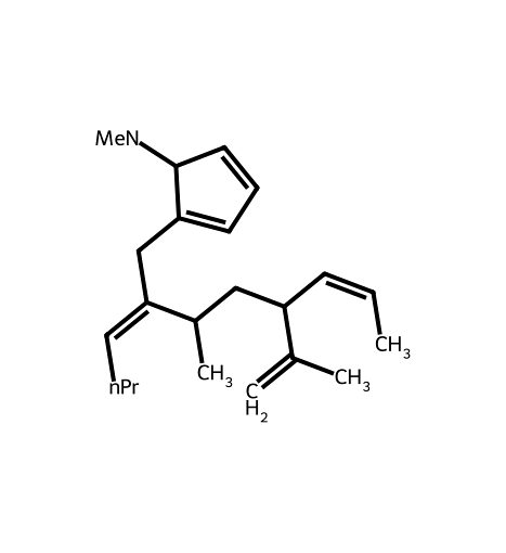 C=C(C)C(/C=C\C)CC(C)/C(=C\CCC)CC1=CC=CC1NC